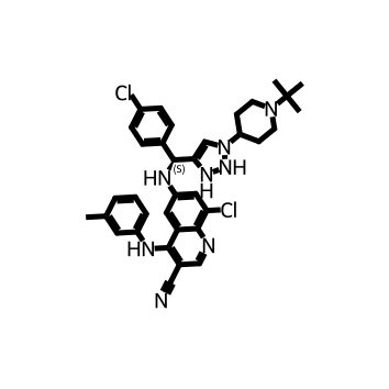 Cc1cccc(Nc2c(C#N)cnc3c(Cl)cc(N[C@H](C4=CN(C5CCN(C(C)(C)C)CC5)NN4)c4ccc(Cl)cc4)cc23)c1